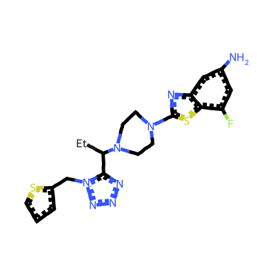 CCC(c1nnnn1Cc1cccs1)N1CCN(c2nc3cc(N)cc(F)c3s2)CC1